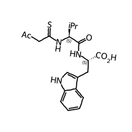 CC(=O)CC(=S)N[C@H](C(=O)N[C@@H](Cc1c[nH]c2ccccc12)C(=O)O)C(C)C